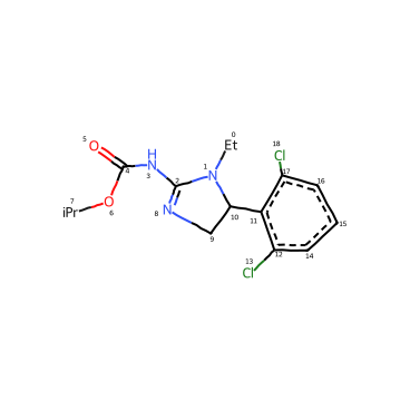 CCN1C(NC(=O)OC(C)C)=NCC1c1c(Cl)cccc1Cl